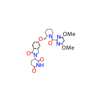 COc1cc(OC)nc(C(=O)N2CCCC[C@@H]2COc2ccc3c(c2)CN(C2CCC(=O)NC2=O)C3=O)n1